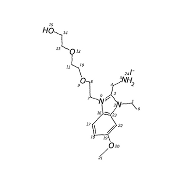 CCn1c(CN)[n+](CCOCCOCCO)c2ccc(OC)cc21.[I-]